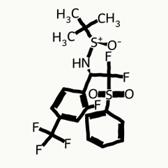 CC(C)(C)[S@@+]([O-])N[C@@H](c1ccc(C(F)(F)F)cc1F)C(F)(F)S(=O)(=O)c1ccccc1